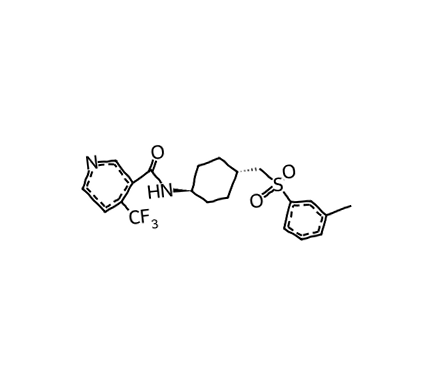 Cc1cccc(S(=O)(=O)C[C@H]2CC[C@H](NC(=O)c3cnccc3C(F)(F)F)CC2)c1